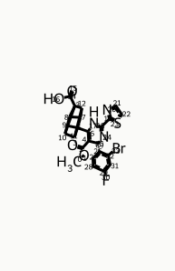 COC(=O)C1=C(C23C4C5C2C2C3C4C52C(=O)O)NC(c2nccs2)=N[C@@H]1c1ccc(F)cc1Br